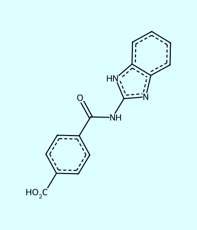 O=C(O)c1ccc(C(=O)Nc2nc3ccccc3[nH]2)cc1